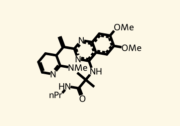 C=C(c1nc(NC(C)(C)C(=O)NCCC)c2cc(OC)c(OC)cc2n1)C1CC=CN=C1NC